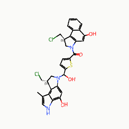 Cc1c[nH]c2c(O)cc3c(c12)[C@H](CCl)CN3C(O)c1ccc(C(=O)N2C[C@@H](CCl)c3c2cc(O)c2ccccc32)s1